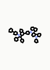 c1ccc(-c2ccc(-n3c(-c4ccccc4)c(-c4ccccc4)c4cc(-c5ccc(N(c6ccc7c(c6)c6ccccc6n7-c6ccccc6)c6cccc7ccccc67)cc5)c5ccccc5c43)cc2)cc1